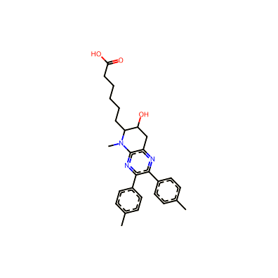 Cc1ccc(-c2nc3c(nc2-c2ccc(C)cc2)N(C)C(CCCCCC(=O)O)C(O)C3)cc1